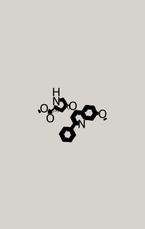 COC(=O)[C@@H]1C[C@@H](Oc2cc(-c3ccccc3)nc3cc(OC)ccc23)CN1